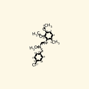 COc1ccc(C)c(N=CN(C)Sc2ccc(Cl)cc2)c1OC